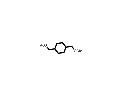 COCC1CCC(COC(C)=O)CC1